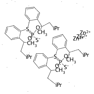 CC(C)CC(C)c1ccccc1S(c1ccccc1C(C)CC(C)C)=P([O-])([O-])[S-].CC(C)CC(C)c1ccccc1S(c1ccccc1C(C)CC(C)C)=P([O-])([O-])[S-].[Zn+2].[Zn+2].[Zn+2]